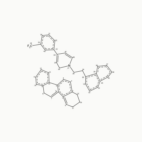 C1=c2c(ccc3c2=CCc2ccccc2-3)CCC1.FC(F)(F)c1cccc(C2=CCN(CCc3cccc4ccccc34)C=C2)c1